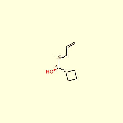 C=CC[C@@H](C)[C@H](O)C1CCC1